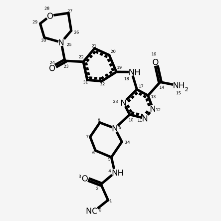 N#CCC(=O)NC1CCCN(c2nnc(C(N)=O)c(Nc3ccc(C(=O)N4CCOCC4)cc3)n2)C1